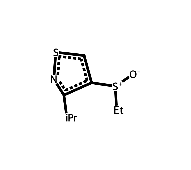 CC[S+]([O-])c1csnc1C(C)C